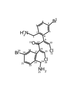 NCc1ccc(Br)cc1C(=CCl)C(=O)C(=CCl)c1cc(Br)ccc1CN